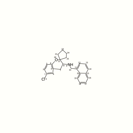 Clc1ccc2c(c1)CC(NCc1cccc3ccccc13)C1(CCCC1)O2